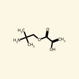 C=C(O)C(=O)OCC(C)(C)N